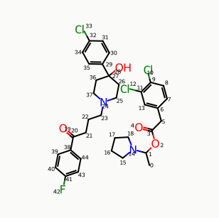 CC(OC(=O)Cc1ccc(Cl)c(Cl)c1)N1CCCC1.O=C(CCCN1CCC(O)(c2ccc(Cl)cc2)CC1)c1ccc(F)cc1